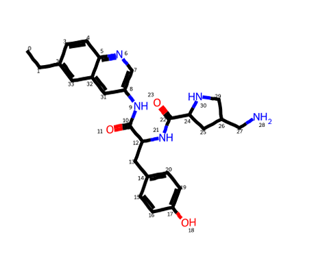 CCc1ccc2ncc(NC(=O)C(Cc3ccc(O)cc3)NC(=O)C3CC(CN)CN3)cc2c1